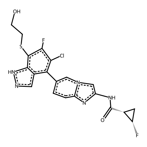 O=C(Nc1cn2cc(-c3c(Cl)c(F)c(SCCO)c4[nH]ncc34)ccc2n1)[C@@H]1C[C@@H]1F